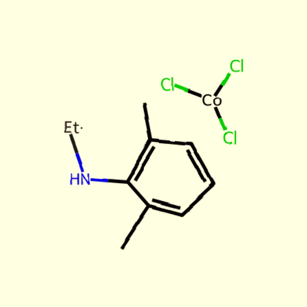 C[CH]Nc1c(C)cccc1C.[Cl][Co]([Cl])[Cl]